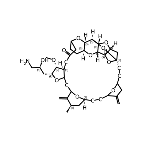 C=C1CC2CC[C@@]34C[C@H]5O[C@H]6[C@@H](O3)[C@H]3OC(CC[C@@H]3O[C@H]6[C@H]5O4)CC(=O)C[C@H]3C(CC4O[C@@H](CCC1O2)C[C@@H](C)C4=C)O[C@H](C[C@H](O)CN)[C@@H]3OC